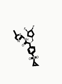 Cc1cnc(NC(=O)[C@H](C[C@H]2C[C@@H](F)[C@@H](F)C2)c2ccc(S(=O)(=O)C3CC3)cc2)s1